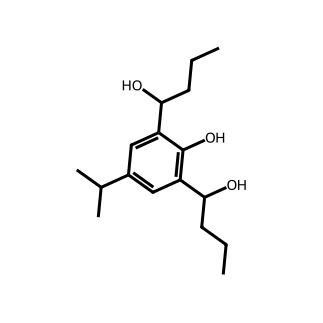 CCCC(O)c1cc(C(C)C)cc(C(O)CCC)c1O